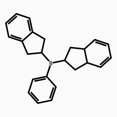 C1=CC2CC(B(c3ccccc3)C3Cc4ccccc4C3)CC2C=C1